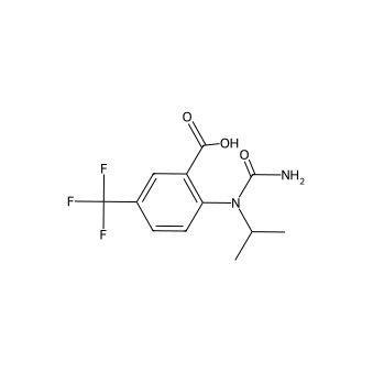 CC(C)N(C(N)=O)c1ccc(C(F)(F)F)cc1C(=O)O